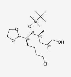 C[C@@H](CO)C[C@H](C)[C@@H](O[Si](C)(C)C(C)(C)C)[C@@H](CCCCCl)C1OCCO1